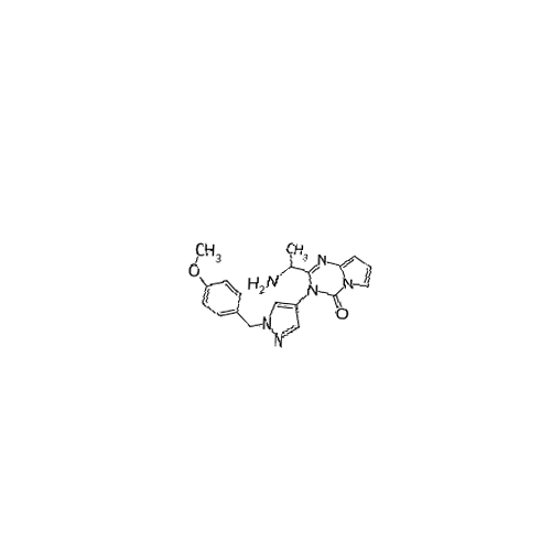 COc1ccc(Cn2cc(-n3c(C(C)N)nc4cccn4c3=O)cn2)cc1